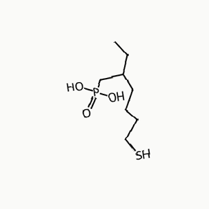 CCC(CCCCS)CP(=O)(O)O